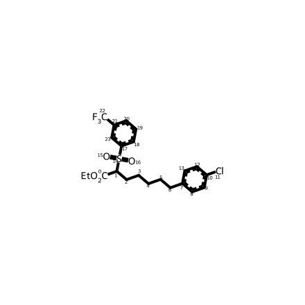 CCOC(=O)C(CCCCCc1ccc(Cl)cc1)S(=O)(=O)c1cccc(C(F)(F)F)c1